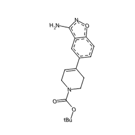 CC(C)(C)OC(=O)N1CC=C(c2ccc3onc(N)c3c2)CC1